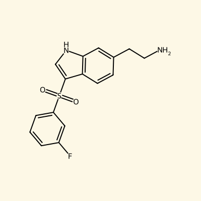 NCCc1ccc2c(S(=O)(=O)c3cccc(F)c3)c[nH]c2c1